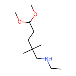 CCNCC(C)(C)CC[C](OC)OC